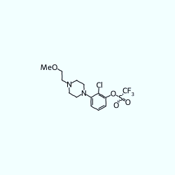 COCCN1CCN(c2cccc(OS(=O)(=O)C(F)(F)F)c2Cl)CC1